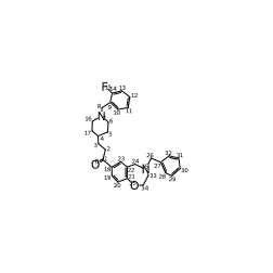 O=C(CCC1CCN(Cc2ccccc2F)CC1)c1ccc2c(c1)CN(Cc1ccccc1)CCO2